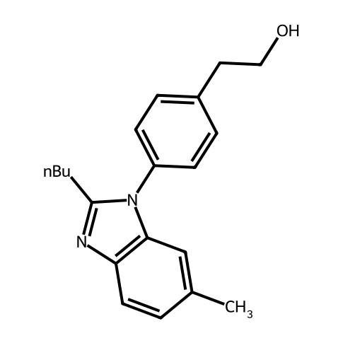 CCCCc1nc2ccc(C)cc2n1-c1ccc(CCO)cc1